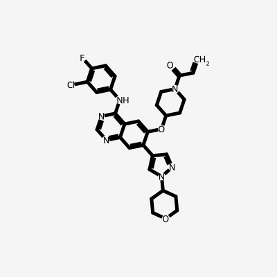 C=CC(=O)N1CCC(Oc2cc3c(Nc4ccc(F)c(Cl)c4)ncnc3cc2-c2cnn(C3CCOCC3)c2)CC1